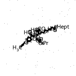 CC#CCOc1ccc(C(=C=O)[C@@H](NC(=O)[C@@H](C=CCCCCCCC(=O)CCCCCCC)[C@@](O)(CC(=O)O)C(=O)O)OCOC(=O)OC(C)C)cc1